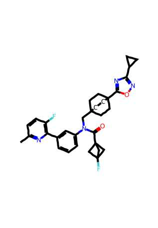 Cc1ccc(F)c(-c2cccc(N(CC34CCC(c5nc(C6CC6)no5)(CC3)CC4)C(=O)C34CC(F)(C3)C4)c2)n1